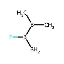 BB(F)B(C)C